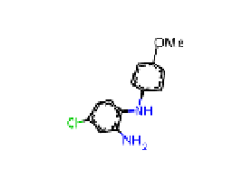 COc1ccc(Nc2ccc(Cl)cc2N)cc1